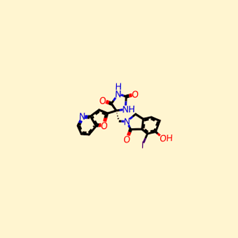 O=C1NC(=O)[C@](CN2Cc3ccc(O)c(I)c3C2=O)(c2cc3ncccc3o2)N1